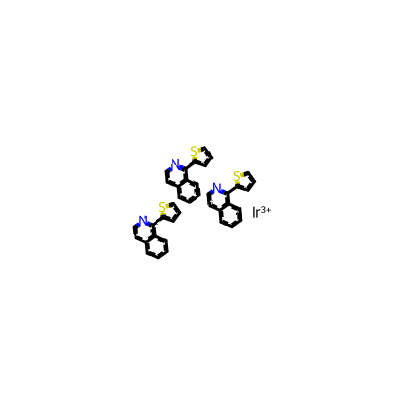 [Ir+3].c1csc(-c2nccc3ccccc23)c1.c1csc(-c2nccc3ccccc23)c1.c1csc(-c2nccc3ccccc23)c1